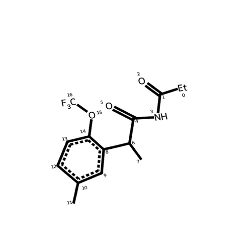 CCC(=O)NC(=O)C(C)c1cc(C)ccc1OC(F)(F)F